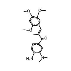 COc1cc(OC)c(OC)cc1/C=C(\C)C(=O)c1ccc(N)c(N(C)C)c1